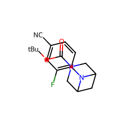 CC(C)(C)OC(=O)N1CC2CC(C1)N2c1ccc(C#N)cc1F